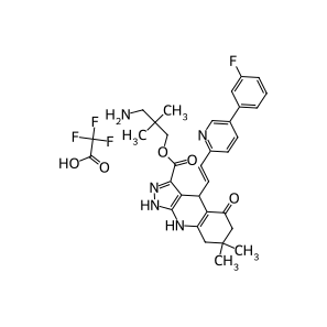 CC(C)(CN)COC(=O)c1n[nH]c2c1C(/C=C/c1ccc(-c3cccc(F)c3)cn1)C1=C(CC(C)(C)CC1=O)N2.O=C(O)C(F)(F)F